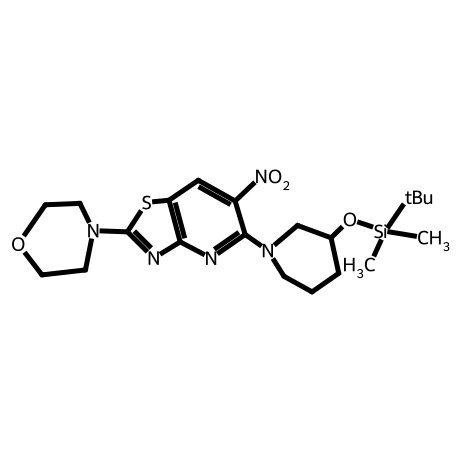 CC(C)(C)[Si](C)(C)OC1CCCN(c2nc3nc(N4CCOCC4)sc3cc2[N+](=O)[O-])C1